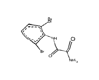 NC(=O)C(=O)Nc1c(Br)cccc1Br